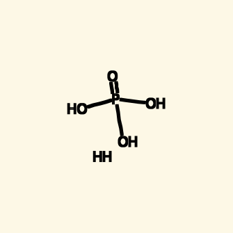 O=P(O)(O)O.[HH]